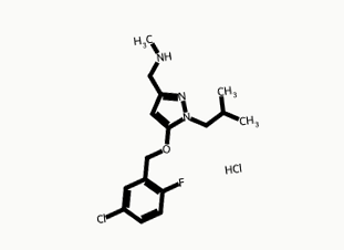 CNCc1cc(OCc2cc(Cl)ccc2F)n(CC(C)C)n1.Cl